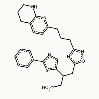 O=C(O)CC(Cc1nc(CCCc2ccc3c(n2)NCCC3)no1)c1cnc(-c2ccccc2)s1